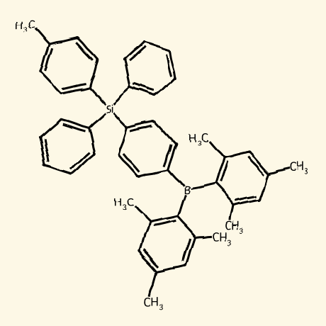 Cc1ccc([Si](c2ccccc2)(c2ccccc2)c2ccc(B(c3c(C)cc(C)cc3C)c3c(C)cc(C)cc3C)cc2)cc1